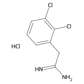 Cl.N=C(N)Cc1cccc(Cl)c1Cl